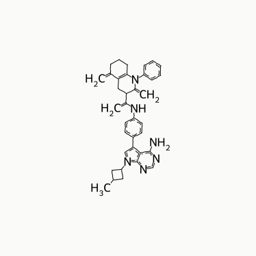 C=C1CCCC2=C1CC(C(=C)Nc1ccc(-c3cn(C4CC(C)C4)c4ncnc(N)c34)cc1)C(=C)N2c1ccccc1